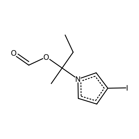 CCC(C)(OC=O)n1ccc(I)c1